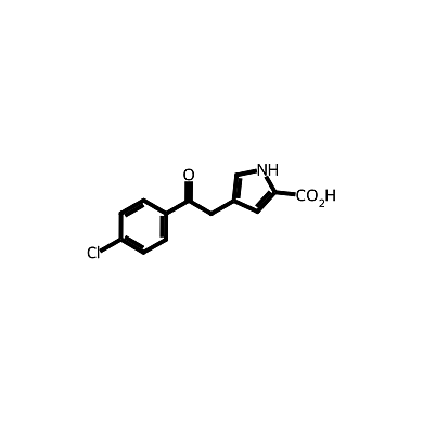 O=C(Cc1c[nH]c(C(=O)O)c1)c1ccc(Cl)cc1